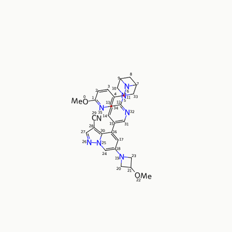 COc1ccc(CN2C3CC2CN(c2ccc(-c4cc(N5CC(OC)C5)cn5ncc(C#N)c45)cn2)C3)cn1